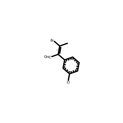 C/C(Br)=C(/C=O)c1cccc(Cl)c1